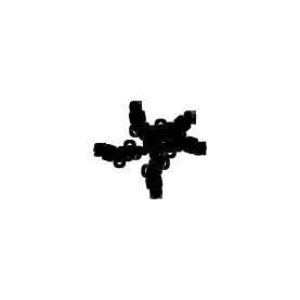 C[Si](C)(C)c1ccc(C(=O)OOC(=O)OCCC(COC(=O)OOC(=O)c2ccc([Si](C)(C)C)cc2)C(COC(=O)OOC(=O)c2ccc([Si](C)(C)C)cc2)C(CCOC(=O)OOC(=O)c2ccc([Si](C)(C)C)cc2)COC(=O)OOC(=O)c2ccc([Si](C)(C)C)cc2)cc1